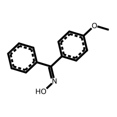 COc1ccc(C(=NO)c2ccccc2)cc1